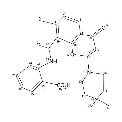 Cc1ccc2c(=O)cc(N3CCC(C)(C)CC3)oc2c1C(C)Nc1ccccc1C(=O)O